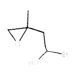 CCC(O)CC1(C)CO1